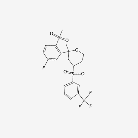 CC1(c2cc(F)ccc2S(C)(=O)=O)CC(S(=O)(=O)c2cccc(C(F)(F)F)c2)CCO1